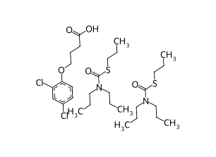 CCCSC(=O)N(CCC)CCC.CCCSC(=O)N(CCC)CCC.O=C(O)CCCOc1ccc(Cl)cc1Cl